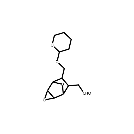 O=CCC1C(COC2CCCCO2)C2OC1C1OC21